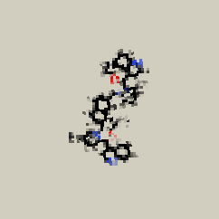 C=CCO[C@H](c1ccnc2ccccc12)C1CC2CC[N+]1(Cc1ccc3ccc(C[N+]45CCC(CC4[C@H](OCC=C)c4ccnc6ccccc46)C(CC)C5)cc3c1)CC2CC